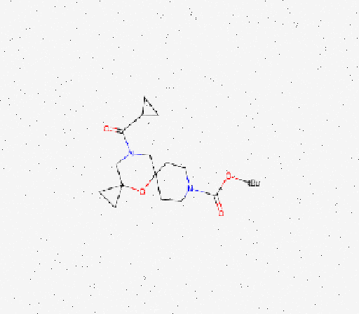 CC(C)(C)OC(=O)N1CCC2(CC1)CN(C(=O)C1CC1)CC1(CC1)O2